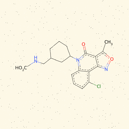 Cc1onc2c1c(=O)n(C1CCCC(CNC(=O)O)C1)c1cccc(Cl)c21